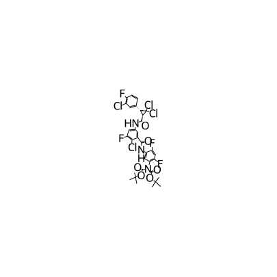 CC(C)(C)OC(=O)N(C(=O)OC(C)(C)C)c1cc(NC(=O)c2cc(NC(=O)[C@H]3[C@H](c4ccc(F)c(Cl)c4)C3(Cl)Cl)cc(F)c2Cl)c(F)cc1F